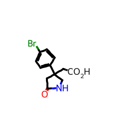 O=C(O)CC1(c2ccc(Br)cc2)CNC(=O)C1